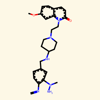 C=Nc1ccc(CNC2CCN(CCn3c(=O)ccc4ccc(OC)cc43)CC2)cc1N(C)N